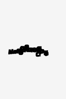 COC(=O)c1cccc(C(=O)Nc2ccc(N3CCN(C(=O)Cc4c(Cl)cc(CN5CCCC5)cc4Cl)CC3)cc2)c1